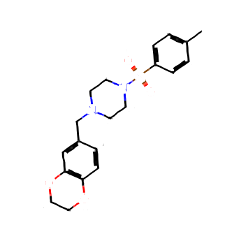 Cc1ccc(S(=O)(=O)N2CCN(Cc3ccc4c(c3)OCCO4)CC2)cc1